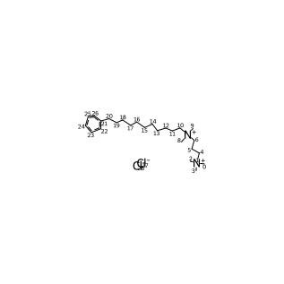 C[N+](C)(C)CCC[N+](C)(C)CCCCCCCCCCCc1ccccc1.[Cl-].[Cl-]